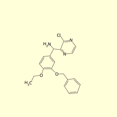 CCOc1ccc(C(N)c2nccnc2Cl)cc1OCc1ccccc1